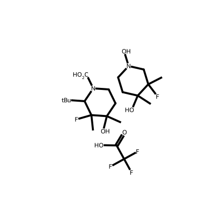 CC(C)(C)C1N(C(=O)O)CCC(C)(O)C1(C)F.CC1(O)CCN(O)CC1(C)F.O=C(O)C(F)(F)F